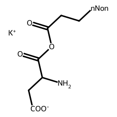 CCCCCCCCCCCC(=O)OC(=O)C(N)CC(=O)[O-].[K+]